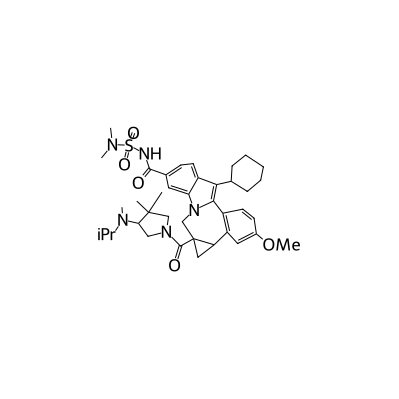 COc1ccc2c(c1)C1CC1(C(=O)N1CC(N(C)C(C)C)C(C)(C)C1)Cn1c-2c(C2CCCCC2)c2ccc(C(=O)NS(=O)(=O)N(C)C)cc21